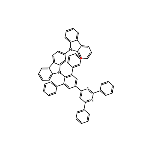 c1ccc(-c2nc(-c3ccccc3)nc(-c3cc(-c4ccccc4)c(-n4c5ccccc5c5ccc(-n6c7ccccc7c7ccccc76)cc54)c(-c4ccccc4)c3)n2)cc1